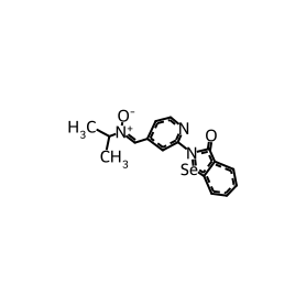 CC(C)[N+]([O-])=Cc1ccnc(-n2[se]c3ccccc3c2=O)c1